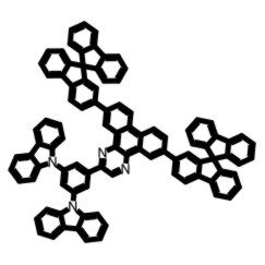 c1ccc2c(c1)-c1ccccc1C21c2ccccc2-c2ccc(-c3ccc4c5ccc(-c6ccc7c(c6)C6(c8ccccc8-c8ccccc86)c6ccccc6-7)cc5c5nc(-c6cc(-n7c8ccccc8c8ccccc87)cc(-n7c8ccccc8c8ccccc87)c6)cnc5c4c3)cc21